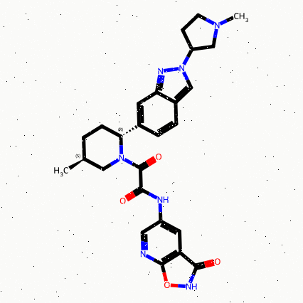 C[C@H]1CC[C@H](c2ccc3cn(C4CCN(C)C4)nc3c2)N(C(=O)C(=O)Nc2cnc3o[nH]c(=O)c3c2)C1